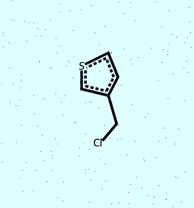 ClCc1c[c]sc1